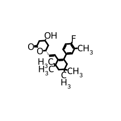 Cc1cc(C2=C(C=C[C@H]3C[C@H](O)CC(=O)O3)C(C)(C)CC(C)(C)C2)ccc1F